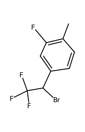 Cc1ccc(C(Br)C(F)(F)F)cc1F